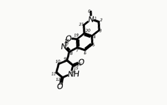 CN1CCc2ccc3c(C4CCC(=O)NC4=O)noc3c2C1